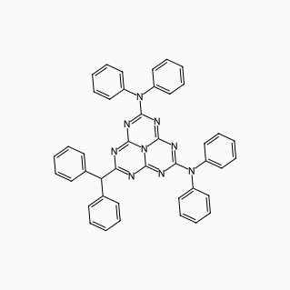 c1ccc(C(C2=NC3=NC(N(c4ccccc4)c4ccccc4)=NC4=NC(N(c5ccccc5)c5ccccc5)=NC(=N2)N34)c2ccccc2)cc1